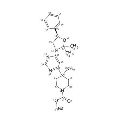 CC(C)(C)OC(=O)N1CCC(N)(c2cc(N3C[C@@H](c4ccccc4)OC3(C)C)ncn2)CC1